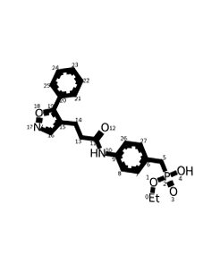 CCOP(=O)(O)Cc1ccc(NC(=O)CCc2cnoc2-c2ccccc2)cc1